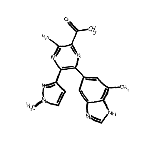 CC(=O)c1nc(-c2cc(C)c3[nH]cnc3c2)c(-c2ccn(C)n2)nc1N